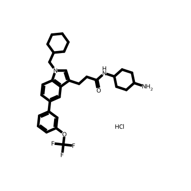 Cl.NC1CCC(NC(=O)CCc2cn(CC3CCCCC3)c3ccc(-c4cccc(OC(F)(F)F)c4)cc23)CC1